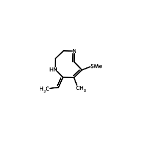 C/C=C1NCC/N=C/C(SC)=C\1C